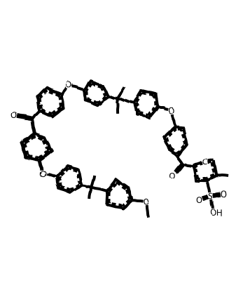 COc1ccc(C(C)(C)c2ccc(Oc3ccc(C(=O)c4ccc(Oc5ccc(C(C)(C)c6ccc(Oc7ccc(C(=O)c8ccc(C)c(S(=O)(=O)O)c8)cc7)cc6)cc5)cc4)cc3)cc2)cc1